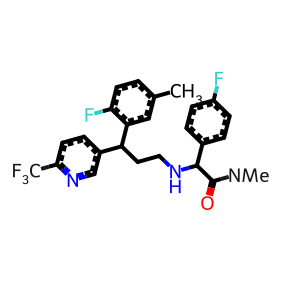 CNC(=O)C(NCCC(c1ccc(C(F)(F)F)nc1)c1cc(C)ccc1F)c1ccc(F)cc1